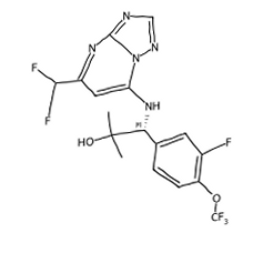 CC(C)(O)[C@H](Nc1cc(C(F)F)nc2ncnn12)c1ccc(OC(F)(F)F)c(F)c1